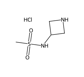 CS(=O)(=O)NC1CNC1.Cl